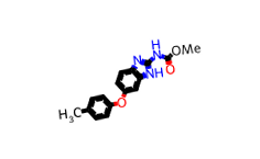 COC(=O)Nc1nc2ccc(Oc3ccc(C)cc3)cc2[nH]1